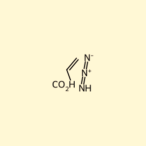 C=CC(=O)O.[N-]=[N+]=N